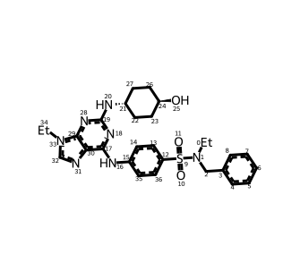 CCN(Cc1ccccc1)S(=O)(=O)c1ccc(Nc2nc(N[C@H]3CC[C@H](O)CC3)nc3c2ncn3CC)cc1